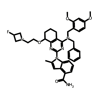 COc1ccc(CN(Cc2ccccc2)c2nc(-n3c(C)cc4c(C(N)=O)cccc43)nc3c2CCCC3OCCN2CC(F)C2)c(OC)c1